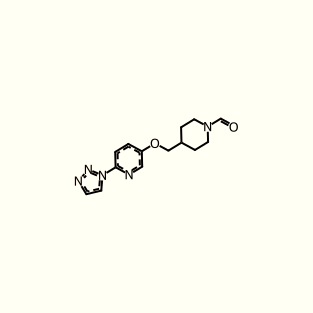 O=CN1CCC(COc2ccc(-n3ccnn3)nc2)CC1